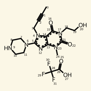 CC#CCn1c(N2CCNCC2)nc2c1c(=O)n(CCO)c(=O)n2C.O=C(O)C(F)(F)F